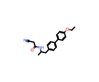 CCOc1ccc(-c2ccc(CC(C)NC(=O)CC#N)cc2)cc1